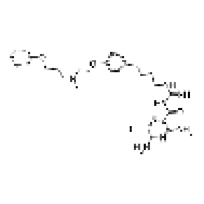 CN(CCCOc1ccccc1)CCOc1ccc(CCCCNC(=N)NC(=O)c2nc(Cl)c(N)nc2N)cc1